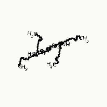 CC/C=C\C/C=C\C/C=C\CCCCCCC(O)CN(CCCSSCCN1CCN(CCOC(=O)CCCN(CC(O)CCCCCC/C=C\C/C=C\CCCCC)CC(O)CCCCCC/C=C\C/C=C\CCCCC)CC1)CC(O)CCCCCC/C=C\C/C=C\C/C=C\CC